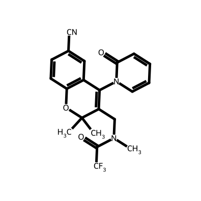 CN(CC1=C(n2ccccc2=O)c2cc(C#N)ccc2OC1(C)C)C(=O)C(F)(F)F